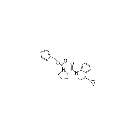 O=C([C@@H]1CCCN1C(=O)OCc1ccccc1)N1CCN(C2CC2)c2ccccc21